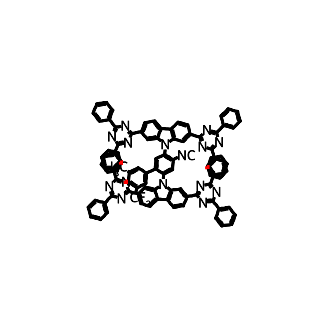 [C-]#[N+]c1cc(-n2c3cc(-c4nc(-c5ccccc5)nc(-c5ccccc5)n4)ccc3c3ccc(-c4nc(-c5ccccc5)nc(-c5ccccc5)n4)cc32)c(-c2cc(C)cc(C(F)(F)F)c2)cc1-n1c2cc(-c3nc(-c4ccccc4)nc(-c4ccccc4)n3)ccc2c2ccc(-c3nc(-c4ccccc4)nc(-c4ccccc4)n3)cc21